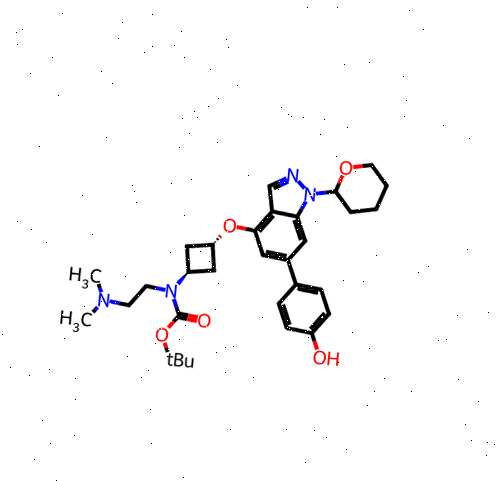 CN(C)CCN(C(=O)OC(C)(C)C)[C@H]1C[C@H](Oc2cc(-c3ccc(O)cc3)cc3c2cnn3C2CCCCO2)C1